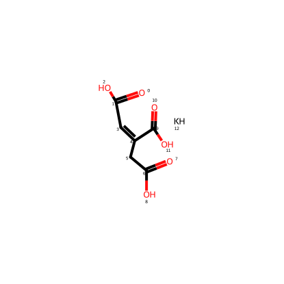 O=C(O)C=C(CC(=O)O)C(=O)O.[KH]